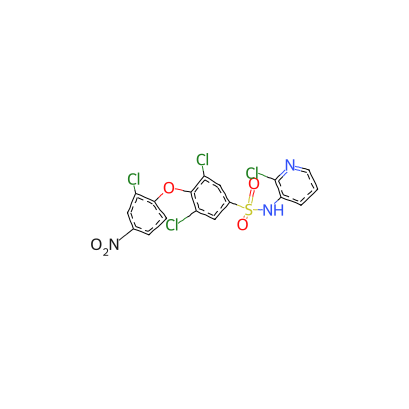 O=[N+]([O-])c1ccc(Oc2c(Cl)cc(S(=O)(=O)Nc3cccnc3Cl)cc2Cl)c(Cl)c1